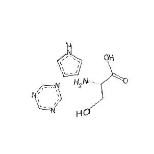 N[C@@H](CO)C(=O)O.c1cc[nH]c1.c1ncncn1